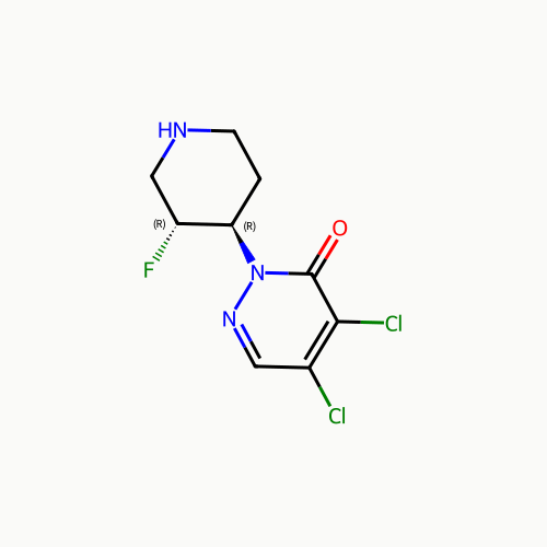 O=c1c(Cl)c(Cl)cnn1[C@@H]1CCNC[C@H]1F